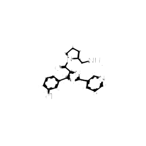 NCC1CCCN1C(=O)c1nc(-c2cccnc2)sc1-c1cccc(Cl)c1